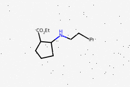 CCOC(=O)C1CCCC1NCCC(C)C